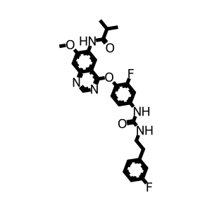 COc1cc2ncnc(Oc3ccc(NC(=O)NCCc4cccc(F)c4)cc3F)c2cc1NC(=O)C(C)C